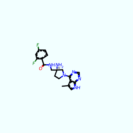 Cc1c[nH]c2ncnc(N3CC[C@](N)(CNC(=O)c4ccc(F)cc4F)C3)c12